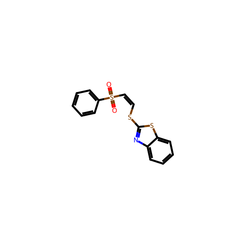 O=S(=O)(/C=C\Sc1nc2ccccc2s1)c1ccccc1